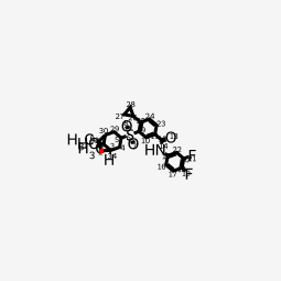 C[C@H]1C[C@H]2CC(S(=O)(=O)c3cc(C(=O)Nc4ccc(F)c(F)c4)ccc3C3CC3)CC1[C@]2(C)O